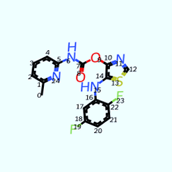 Cc1cccc(NC(=O)Oc2ncsc2Nc2cc(F)ccc2F)n1